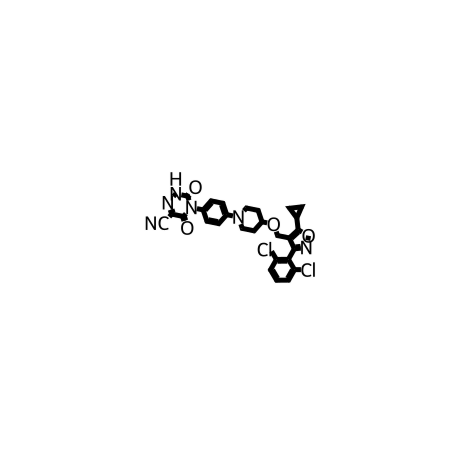 N#Cc1n[nH]c(=O)n(-c2ccc(N3CCC(OCc4c(-c5c(Cl)cccc5Cl)noc4C4CC4)CC3)cc2)c1=O